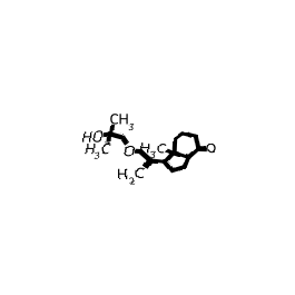 C=C(COCC(C)(C)O)C1CCC2C(=O)CCCC12C